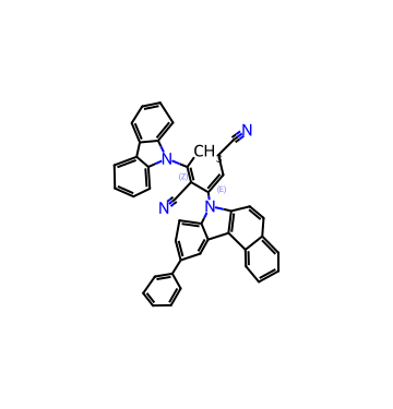 C/C(=C(C#N)\C(=C/CC#N)n1c2ccc(-c3ccccc3)cc2c2c3ccccc3ccc21)n1c2ccccc2c2ccccc21